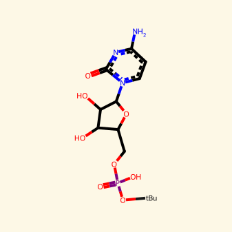 CC(C)(C)OP(=O)(O)OCC1OC(n2ccc(N)nc2=O)C(O)C1O